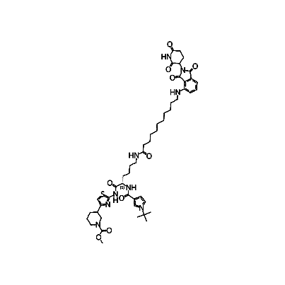 COC(=O)N1CCCC(c2csc(NC(=O)[C@H](CCCCNC(=O)CCCCCCCCCCNc3cccc4c3C(=O)N(C3CCC(=O)NC3=O)C4=O)NC(=O)c3ccn(C(C)(C)C)c3)n2)C1